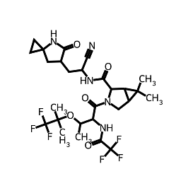 CC(OC(C)(C)C(F)(F)F)C(NC(=O)C(F)(F)F)C(=O)N1CC2C(C1C(=O)NC(C#N)CC1CC3(CC3)NC1=O)C2(C)C